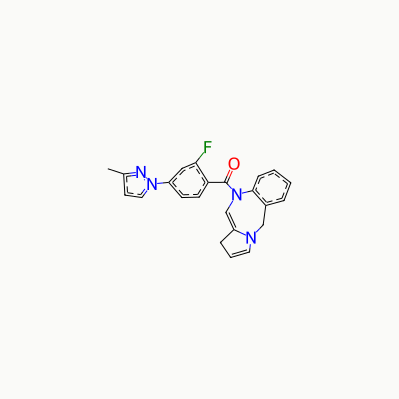 Cc1ccn(-c2ccc(C(=O)N3C=C4CC=CN4Cc4ccccc43)c(F)c2)n1